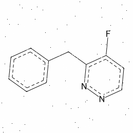 Fc1ccnnc1Cc1ccccc1